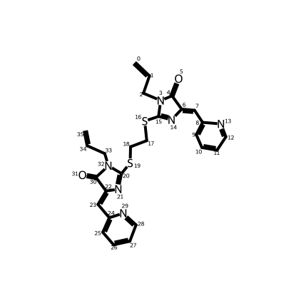 C=CCN1C(=O)/C(=C/c2ccccn2)N=C1SCCSC1=N/C(=C\c2ccccn2)C(=O)N1CC=C